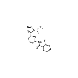 CC(n1cnnc1-c1cccc(NC(=O)c2ccccc2F)n1)C(F)(F)F